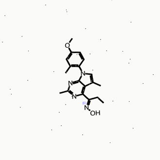 CC/C(=N\O)c1nc(C)nc2c1c(C)cn2-c1ccc(OC)cc1C